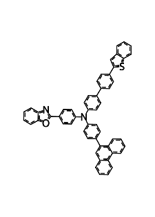 c1ccc2sc(-c3ccc(-c4ccc(N(c5ccc(-c6nc7ccccc7o6)cc5)c5ccc(-c6cc7ccccc7c7ccccc67)cc5)cc4)cc3)cc2c1